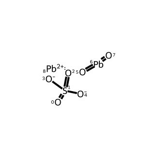 O=S(=O)([O-])[O-].[O]=[Pb]=[O].[Pb+2]